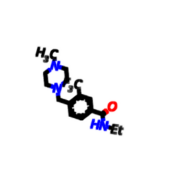 CCNC(=O)c1ccc(CN2CCN(C)CC2)c(C(F)(F)F)c1